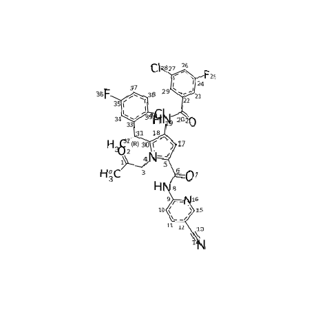 CC(=O)Cn1c(C(=O)Nc2ccc(C#N)cn2)cc(NC(=O)c2cc(F)cc(Cl)c2)c1[C@H](C)c1cc(F)ccc1Cl